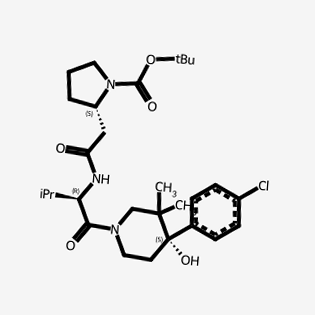 CC(C)[C@@H](NC(=O)C[C@@H]1CCCN1C(=O)OC(C)(C)C)C(=O)N1CC[C@](O)(c2ccc(Cl)cc2)C(C)(C)C1